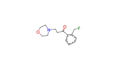 O=C(CCN1CCOCC1)c1ccccc1CF